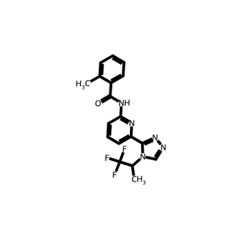 Cc1ccccc1C(=O)Nc1cccc(-c2nncn2C(C)C(F)(F)F)n1